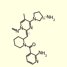 C=NN1C=C(C)C(N2CC[C@H](N)C2)=N/C1=C/C1CCCCN1C(=O)c1cccnc1N